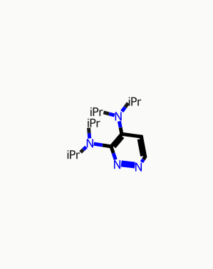 CC(C)N(c1ccnnc1N(C(C)C)C(C)C)C(C)C